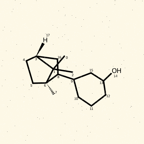 CC1(C)[C@@H]2CC[C@]1(C)C(C1CCCC(O)C1)C2